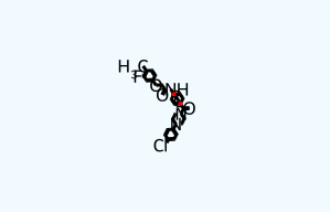 Cc1ccc(OCC(=O)NC23CCC(C(=O)N4CCN(c5ccc(Cl)cc5)CC4)(CC2)CC3)cc1F